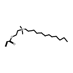 C=CC(=O)OCC[N+](C)(C)CCCCCCCCCCCC